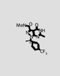 CNC(=O)c1nn([C@H](C)c2ccc(C(F)(F)F)cc2)c2nc(C)[nH]c(=O)c12